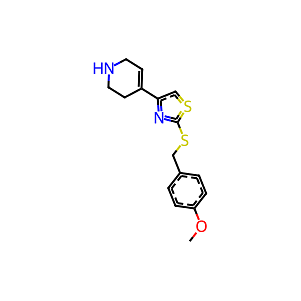 COc1ccc(CSc2nc(C3=CCNCC3)cs2)cc1